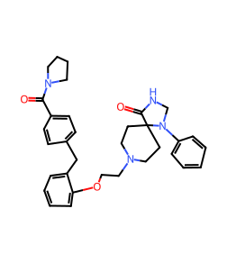 O=C(c1ccc(Cc2ccccc2OCCN2CCC3(CC2)C(=O)NCN3c2ccccc2)cc1)N1CCCC1